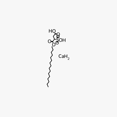 CCCCCCCCCCCCCCCCOC(=O)C(CC(=O)O)S(=O)(=O)O.[CaH2]